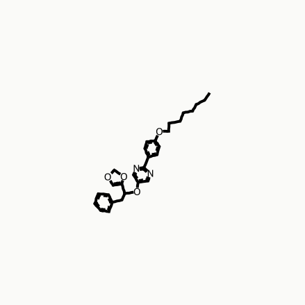 CCCCCCCCOc1ccc(-c2ncc(OC(Cc3ccccc3)C3=COCO3)cn2)cc1